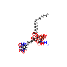 CCCCCCCC/C=C\CCCCCCCC(=O)OC[C@H](CO)OC(=O)CCCCCNc1ccc([N+](=O)[O-])c2nonc12.N[C@@H](COP(=O)(O)O)C(=O)O